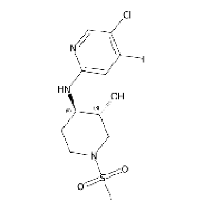 CS(=O)(=O)N1CC[C@@H](Nc2cc(I)c(Cl)cn2)[C@H](O)C1